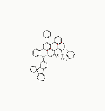 CC1(C)c2ccccc2-c2cccc(-c3ccc(N(c4ccc5c(c4)C4(CCCC4)c4ccccc4-5)c4ccccc4-c4ccc(-c5ccccc5)c(-c5ccccc5)c4)cc3)c21